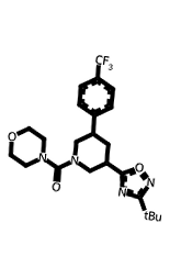 CC(C)(C)c1noc(C2CC(c3ccc(C(F)(F)F)cc3)CN(C(=O)N3CCOCC3)C2)n1